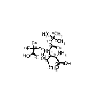 CC(C)[C@@H](NC(=O)OC(C)(C)C)[C@H](N)C(=O)O.O=C(O)C(F)(F)F